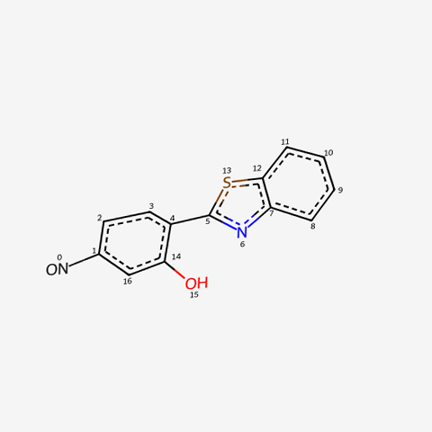 O=Nc1ccc(-c2nc3ccccc3s2)c(O)c1